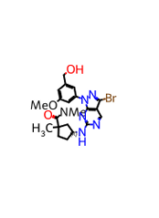 CNC(=O)C1(C)CC[C@@H](Nc2ncc3c(Br)nn(-c4cc(CO)cc(OC)c4)c3n2)C1